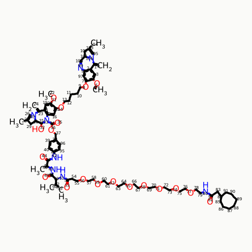 C=C1c2cc(OC)c(OCCCCCOc3cc4c(cc3OC)C(=C)N3C=C(C)CC3C(O)N4C(=O)OCc3ccc(NC(=O)C(C)NC(=O)[C@@H](NC(=O)CCOCCOCCOCCOCCOCCOCCOCCOCCNC(=O)CC4CCCCCCC4)C(C)C)cc3)cc2N=CC2CC(C)=CN12